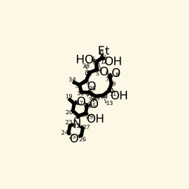 CC[C@@H](O)[C@@H](O)[C@@H]1OC(=O)C[C@@H](O)[C@H](C)[C@H](O[C@@H]2OC(C)CC(N3CCOCC3)C2O)[C@@]2(C)CC(C)C(O2)[C@@H]1C